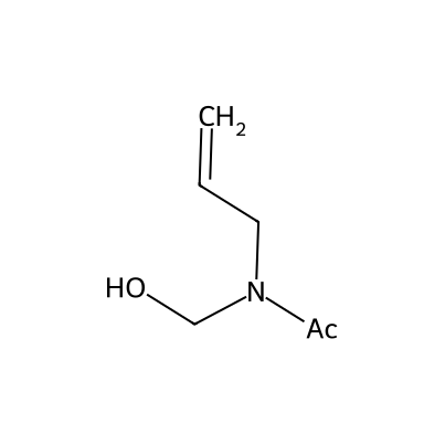 C=CCN(CO)C(C)=O